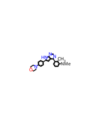 CNc1cccc(-c2ncnc3[nH]c(-c4ccc(N5CCOCC5)cc4)cc23)c1C